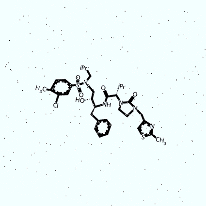 Cc1nc(CN2CCN([C@H](C(=O)N[C@@H](Cc3ccccc3)[C@H](O)CN(CC(C)C)S(=O)(=O)c3ccc(C)c(Cl)c3)C(C)C)C2=O)cs1